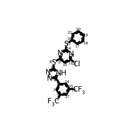 FC(F)(F)c1cc(-c2nnc(Sc3cc(Cl)nc(Sc4ccccc4)n3)[nH]2)cc(C(F)(F)F)c1